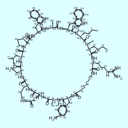 CCCC[C@H]1C(=O)N(C)[C@@H](CCCC)C(=O)N[C@@H](CCCNC(=N)N)C(=O)NCCSCC(=O)N[C@@H](Cc2ccc(N)cc2)C(=O)N(C)[C@@H](C)C(=O)N[C@H]2CC(=O)NCCCC(NC2=O)C(=O)N[C@@H](CN)C(=O)N[C@@H](CC(C)C)C(=O)N2CCC[C@H]2C(=O)N[C@@H](Cc2c[nH]c3ccccc23)C(=O)N[C@@H](C)C(=O)N[C@@H](Cc2c[nH]c3ccccc23)C(=O)N1C